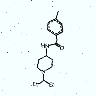 CCC(CC)N1CCC(NC(=O)c2ccc(C)cc2)CC1